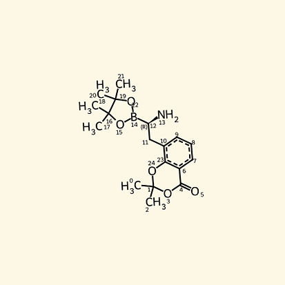 CC1(C)OC(=O)c2cccc(C[C@H](N)B3OC(C)(C)C(C)(C)O3)c2O1